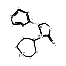 O=C1OC[C@@H](c2ccccc2)N1C1CCNCC1